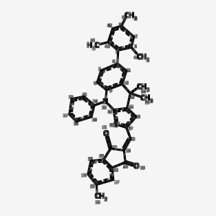 Cc1cc(C)c(-c2ccc3c(c2)C(C)(C)c2cc(/C=C4\C(=O)c5ccc(C)cc5C4=O)sc2N3c2ccccc2)c(C)c1